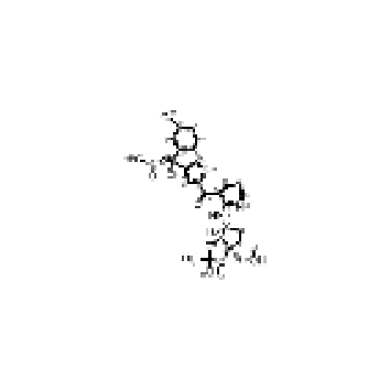 CC1(C)O[C@@H]2[C@@H](CO)C[C@@H](Nc3ncncc3C(=O)c3cc([C@](C)(N[S+]([O-])C(C)(C)C)c4cccc(Cl)c4)cs3)[C@@H]2O1